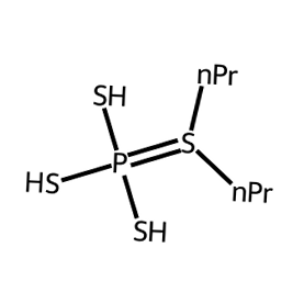 CCCS(CCC)=P(S)(S)S